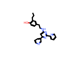 CCCc1cc(CCNc2cc(-c3cccnc3)nc(-c3ccccn3)n2)ccc1O